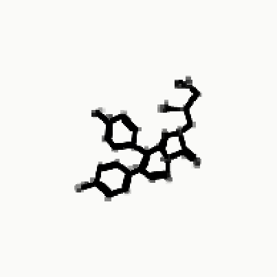 COC[C@@H](O)Cn1nc2c(-c3ccc(Cl)cc3)c(-c3ccc(Cl)cc3)cnn2c1=O